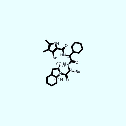 CC(=O)c1c(C(=O)N[C@H](C(=O)N[C@H](C(=O)N2[C@H](C(=O)O)CC3CCCC[C@@H]32)C(C)(C)C)C2CCCCC2)[nH]c(C)c1C